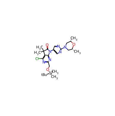 C[C@@H]1CN(c2ncc(N3C(=O)C(C)(C)c4c(Cl)nc(CO[Si](C)(C)C(C)(C)C)nc43)cn2)C[C@H](C)O1